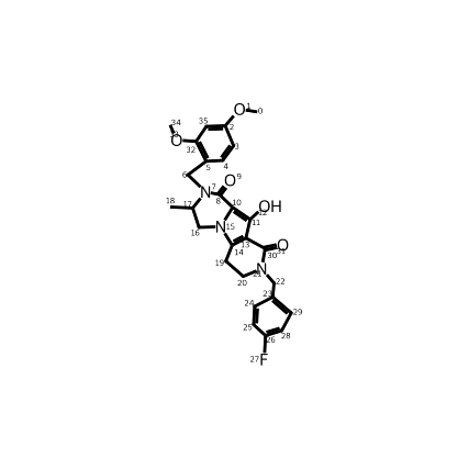 COc1ccc(CN2C(=O)c3c(O)c4c(n3CC2C)CCN(Cc2ccc(F)cc2)C4=O)c(OC)c1